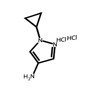 Cl.Cl.Nc1cnn(C2CC2)c1